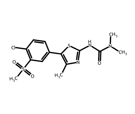 Cc1nc(NC(=O)N(C)C)sc1-c1ccc(Cl)c(S(C)(=O)=O)c1